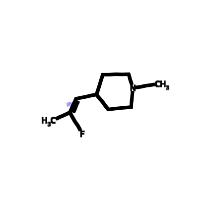 C/C(F)=C/C1CCN(C)CC1